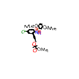 COC(=O)C(C)(C)OCC#Cc1cc(Cl)ccc1NS(=O)(=O)c1cc(OC)ccc1OC